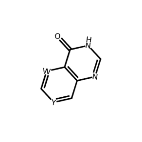 O=c1[nH]cnc2[c]1[W]=[CH][Y]=[CH]2